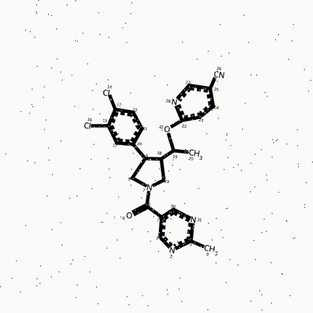 Cc1ncc(C(=O)N2CC(c3ccc(Cl)c(Cl)c3)C(C(C)Oc3ccc(C#N)cn3)C2)cn1